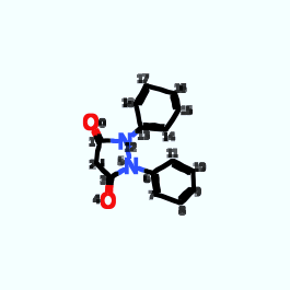 O=C1[C]C(=O)N(c2ccccc2)N1c1ccccc1